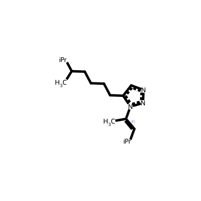 C/C(=C\C(C)C)n1nncc1CCCCC(C)C(C)C